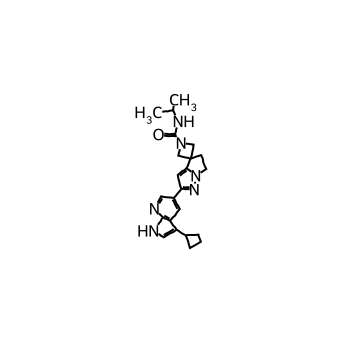 CC(C)NC(=O)N1CC2(CCn3nc(-c4cnc5[nH]cc(C6CCC6)c5c4)cc32)C1